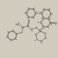 CN(Cc1ccccc1)C(=O)OC[N+]1(c2cc(=O)c3cccc(-c4ccccc4)c3o2)CCOCC1